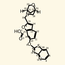 O=CO.c1cnc2nc(Oc3ccc4cc(CN5C[C@@H]6C[C@H]5CO6)oc4c3)sc2c1